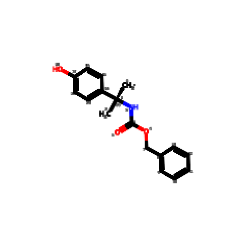 [CH2][C@](C)(NC(=O)OCc1ccccc1)c1ccc(O)cc1